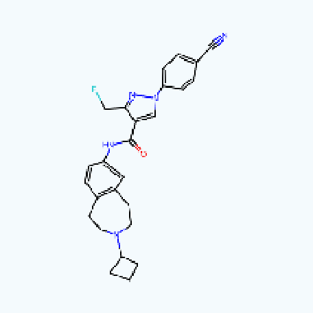 N#Cc1ccc(-n2cc(C(=O)Nc3ccc4c(c3)CCN(C3CCC3)CC4)c(CF)n2)cc1